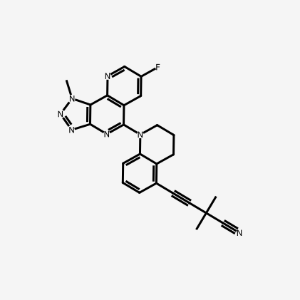 Cn1nnc2nc(N3CCCc4c(C#CC(C)(C)C#N)cccc43)c3cc(F)cnc3c21